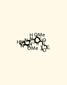 COc1cc(C(=O)N2CCOCC2)ccc1Nc1nc(OC)c2nc[nH]c2n1